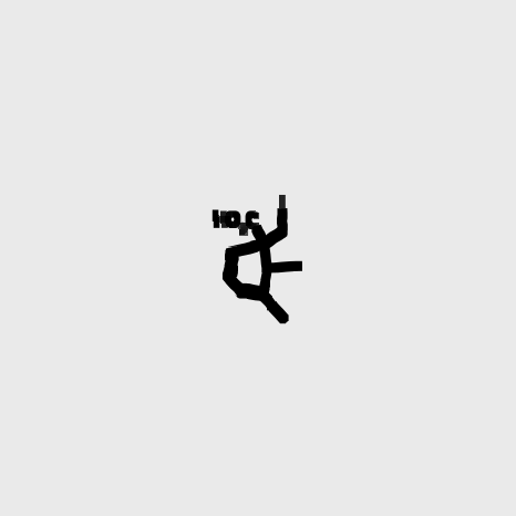 CC1=CC=CC(CI)(C(=O)O)C1C